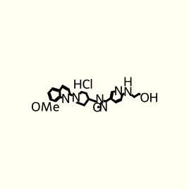 COc1cccc2ccc(N3CCC(c4nc(-c5ccc(NCCO)nc5)no4)CC3)nc12.Cl